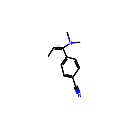 C/C=C(\c1ccc(C#N)cc1)N(C)C